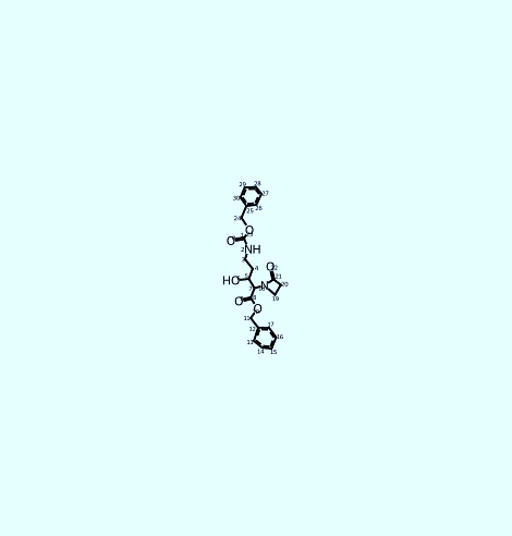 O=C(NCCC(O)C(C(=O)OCc1ccccc1)N1CCC1=O)OCc1ccccc1